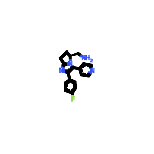 NC[C@@H]1CCc2nc(-c3ccc(F)cc3)c(-c3ccncc3)n21